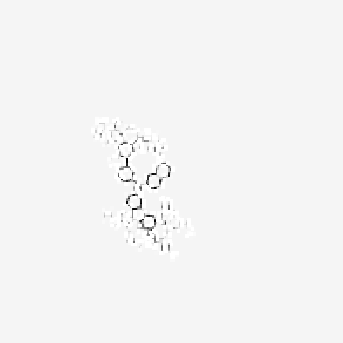 CC1(C)CCC(C)(C)c2cc3c(cc21)-c1cc(N(c2ccc4ccccc4c2)c2ccc4oc5cc6c(cc5c4c2)C(C)(C)CCC6(C)C)ccc1C3(C)C